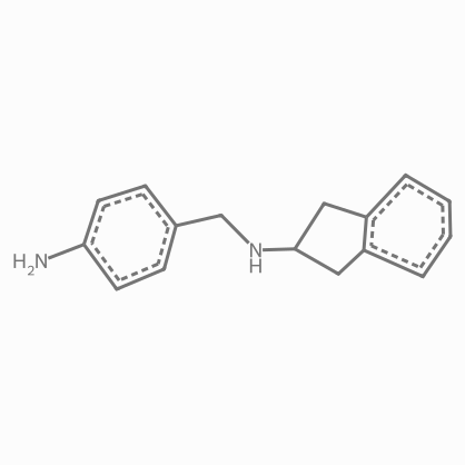 Nc1ccc(CNC2Cc3ccccc3C2)cc1